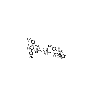 CC1=C(C(=O)NCCCNC(=N)NCCCNC(=O)C2=C(C)N(c3cccc(C(F)(F)F)c3)C(=O)N[C@@H]2c2ccc(C#N)cc2)[C@@H](c2ccc(C#N)cc2)NC(=O)N1c1cccc(C(F)(F)F)c1